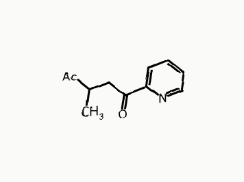 CC(=O)C(C)CC(=O)c1ccccn1